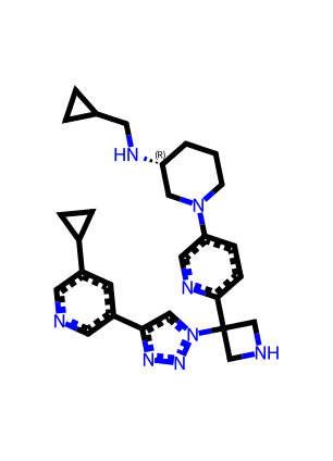 c1ncc(C2CC2)cc1-c1cn(C2(c3ccc(N4CCC[C@@H](NCC5CC5)C4)cn3)CNC2)nn1